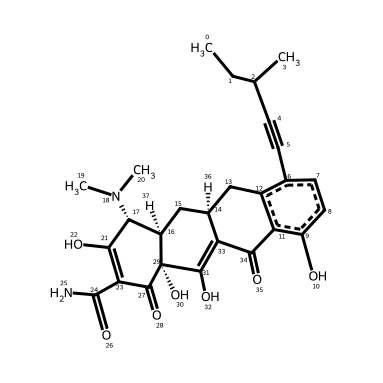 CCC(C)C#Cc1ccc(O)c2c1C[C@@H]1C[C@@H]3[C@@H](N(C)C)C(O)=C(C(N)=O)C(=O)[C@]3(O)C(O)=C1C2=O